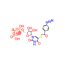 [N-]=[N+]=Nc1ccc(C(=O)CSc2cn([C@@H]3O[C@H](COP(=O)(O)OP(=O)(O)OP(=O)(O)O)[C@@H](O)[C@H]3O)c(=O)[nH]c2=O)cc1